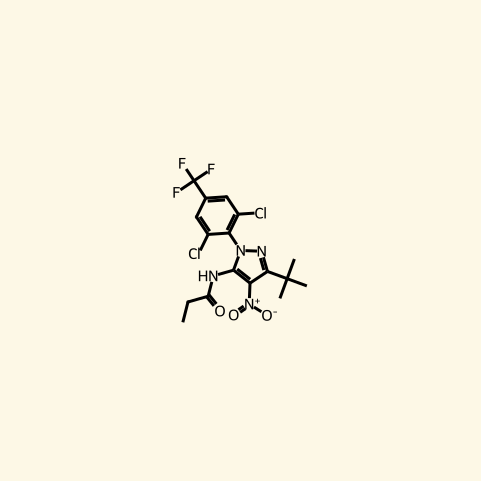 CCC(=O)Nc1c([N+](=O)[O-])c(C(C)(C)C)nn1-c1c(Cl)cc(C(F)(F)F)cc1Cl